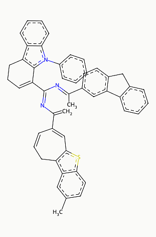 C=C(/N=C(\N=C(/C)c1ccc2c(c1)-c1ccccc1C2)C1=CCCc2c1n(-c1ccccc1)c1ccccc21)C1=Cc2sc3ccc(C)cc3c2CC=C1